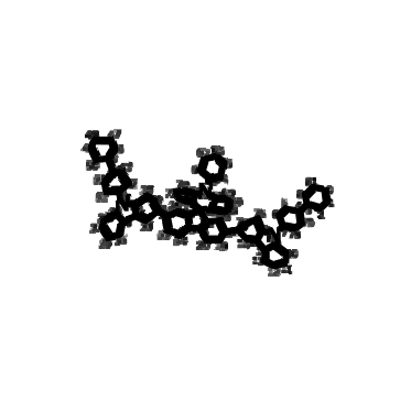 c1ccc(-c2ccc(-n3c4ccccc4c4cc(-c5ccc6c(c5)C5(c7cc(-c8ccc9c(c8)c8ccccc8n9-c8ccc(-c9ccccc9)cc8)ccc7-6)c6ccccc6N(c6ccccc6)c6ccccc65)ccc43)cc2)cc1